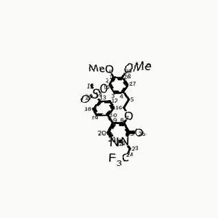 COc1ccc(CCOc2c(-c3ccc(S(C)(=O)=O)cc3)cnn(CC(F)(F)F)c2=O)cc1OC